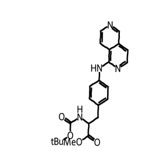 COC(=O)C(Cc1ccc(Nc2nccc3cnccc23)cc1)NC(=O)OC(C)(C)C